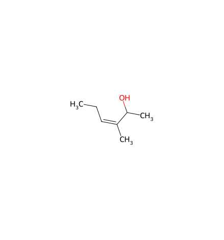 CCC=C(C)C(C)O